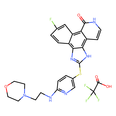 O=C(O)C(F)(F)F.O=c1[nH]ccc2c3[nH]c(Sc4ccc(NCCN5CCOCC5)nc4)nc3c3ccc(F)cc3c12